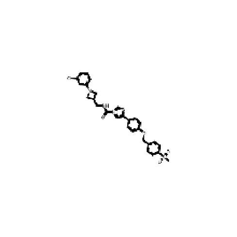 CS(=O)(=O)c1ccc(COc2ccc(-c3cn(C(=O)NCC4CN(c5cccc(Cl)c5)C4)cn3)cc2)cc1